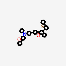 C1=CC(c2ccc3c(c2)oc2c4ccccc4c(-c4cccc5c4sc4ccccc45)cc32)CC=C1N(c1ccccc1)c1ccc2c(c1)oc1ccccc12